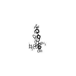 CCOC(=O)C(Cc1ccc(-c2ccc(C(F)(F)F)cn2)cc1)c1c(SC(C)(C)C)c2cc(O)ccc2n1C